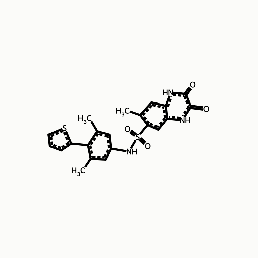 Cc1cc2[nH]c(=O)c(=O)[nH]c2cc1S(=O)(=O)Nc1cc(C)c(-c2cccs2)c(C)c1